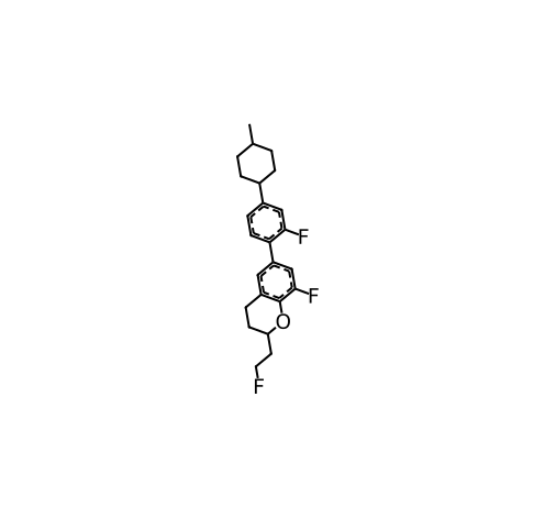 CC1CCC(c2ccc(-c3cc(F)c4c(c3)CCC(CCF)O4)c(F)c2)CC1